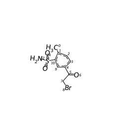 Cc1ccc(C(=O)CBr)cc1S(N)(=O)=O